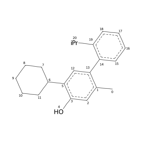 Cc1cc(O)c(C2CCCCC2)cc1-c1ccccc1C(C)C